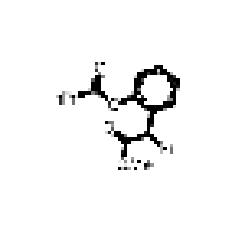 CCCC(=O)Oc1ccccc1C(CC)C(=O)OC